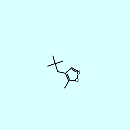 Cc1oncc1CC(C)(C)C